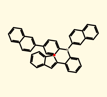 c1ccc(N(c2ccc(-c3ccc4ccccc4c3)cc2)c2ccc3ccccc3c2)c(-c2cc3ccccc3o2)c1